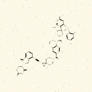 CC(C)(C)C[C@@H]1N[C@@H](C(=O)N2CCOc3cc(C(=O)N4CCC5(CC4)C[C@H]5C#Cc4cccc5c4CN([C@H]4CCC(=O)NC4=O)C5=O)ccc32)[C@H](c2cccc(Cl)c2F)[C@]12CNc1cc(C(F)(F)F)ncc12